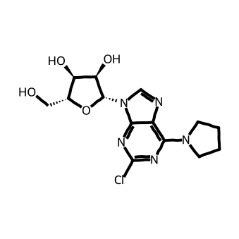 OC[C@H]1O[C@@H](n2cnc3c(N4CCCC4)nc(Cl)nc32)[C@H](O)[C@@H]1O